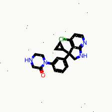 O=C1CNCCN1c1cccc(C2(C3CC3)CNc3nccc(Cl)c32)c1